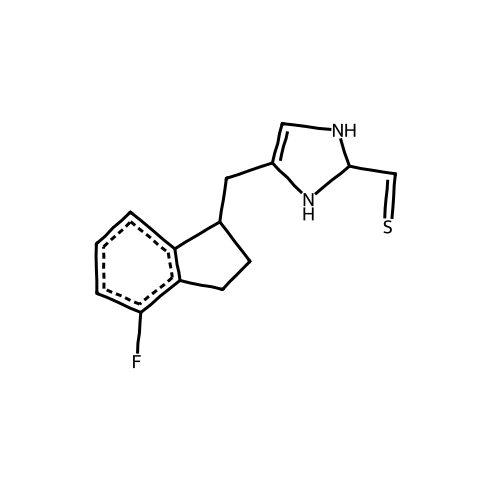 Fc1cccc2c1CCC2CC1=CNC(C=S)N1